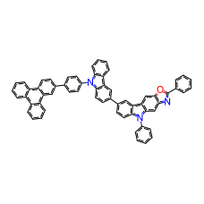 c1ccc(-c2nc3cc4c(cc3o2)c2cc(-c3ccc5c(c3)c3ccccc3n5-c3ccc(-c5ccc6c7ccccc7c7ccccc7c6c5)cc3)ccc2n4-c2ccccc2)cc1